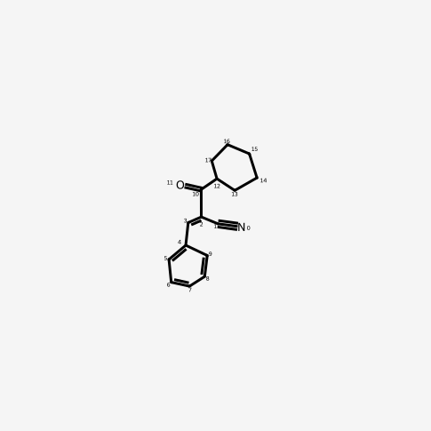 N#C/C(=C\c1ccccc1)C(=O)C1CCCCC1